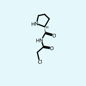 O=C(CCl)NC(=O)[C@H]1CCCN1